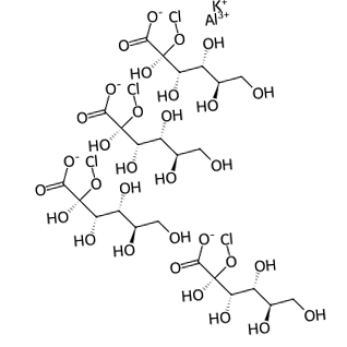 O=C([O-])[C@@](O)(OCl)[C@@H](O)[C@H](O)[C@H](O)CO.O=C([O-])[C@@](O)(OCl)[C@@H](O)[C@H](O)[C@H](O)CO.O=C([O-])[C@@](O)(OCl)[C@@H](O)[C@H](O)[C@H](O)CO.O=C([O-])[C@@](O)(OCl)[C@@H](O)[C@H](O)[C@H](O)CO.[Al+3].[K+]